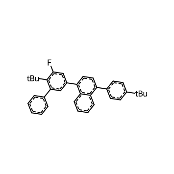 CC(C)(C)c1ccc(-c2ccc(-c3cc(F)c(C(C)(C)C)c(-c4ccccc4)c3)c3ccccc23)cc1